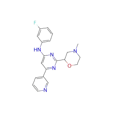 CN1CCOC(c2nc(Nc3cccc(F)c3)cc(-c3cccnc3)n2)C1